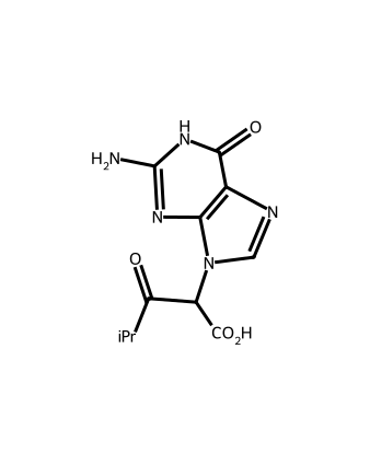 CC(C)C(=O)C(C(=O)O)n1cnc2c(=O)[nH]c(N)nc21